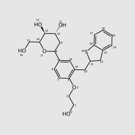 OCCOc1ccc(C2C[C@@H](O)[C@H](O)C(CO)O2)cc1CC1Cc2ccccc2S1